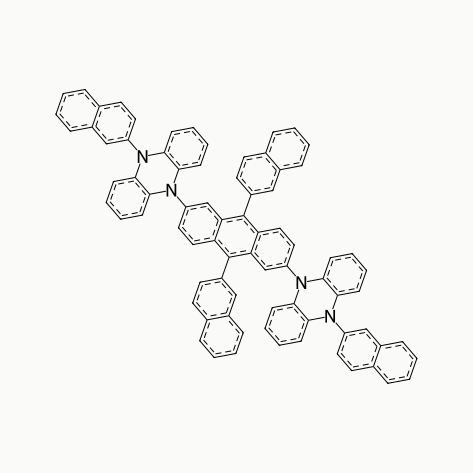 c1ccc2c(c1)N(c1ccc3ccccc3c1)c1ccccc1N2c1ccc2c(-c3ccc4ccccc4c3)c3cc(N4c5ccccc5N(c5ccc6ccccc6c5)c5ccccc54)ccc3c(-c3ccc4ccccc4c3)c2c1